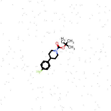 CC(C)(C)OC(=O)N1CCC(c2ccc([18F])cc2)CC1